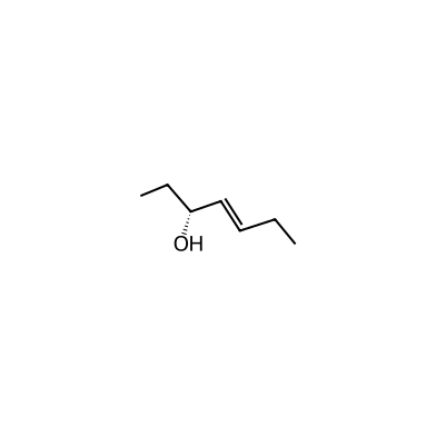 CC/C=C/[C@H](O)CC